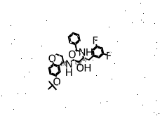 CC(C)(C)Oc1ccc2c(c1)[C@@H](NC[C@H](O)[C@H](Cc1cc(F)cc(F)c1)NC(=O)c1ccccc1)CCO2